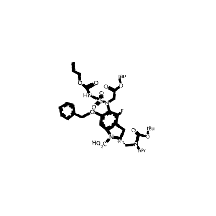 C=CCOC(=O)NS(=O)(=O)N(CC(=O)OC(C)(C)C)c1c(OCc2ccccc2)cc2c(c1F)C[C@H](CN(CCC)C(=O)OC(C)(C)C)N2C(=O)O